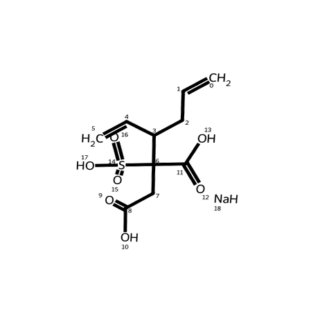 C=CCC(C=C)C(CC(=O)O)(C(=O)O)S(=O)(=O)O.[NaH]